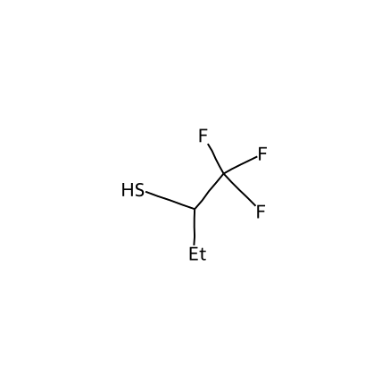 CCC(S)C(F)(F)F